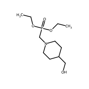 CCOP(=O)(CN1CCC(CO)CC1)OCC